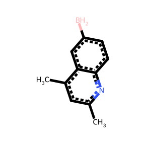 Bc1ccc2nc(C)cc(C)c2c1